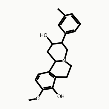 COc1ccc2c(c1O)CCN1CC(c3cccc(C)c3)C(O)CC21